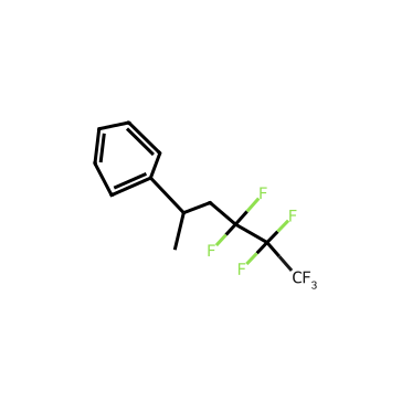 CC(CC(F)(F)C(F)(F)C(F)(F)F)c1ccccc1